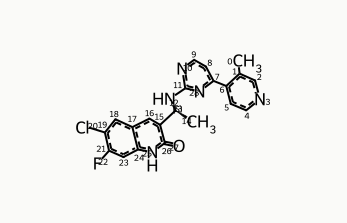 Cc1cnccc1-c1ccnc(N[C@@H](C)c2cc3cc(Cl)c(F)cc3[nH]c2=O)n1